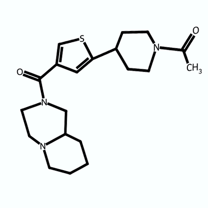 CC(=O)N1CCC(c2cc(C(=O)N3CCN4CCCCC4C3)cs2)CC1